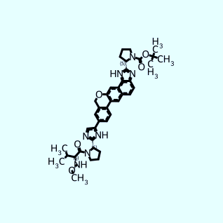 CON[C@H](C(=O)N1CCC[C@H]1c1ncc(-c2ccc3c(c2)COc2cc4c(ccc5nc([C@@H]6CCCN6C(=O)OC(C)(C)C)[nH]c54)cc2-3)[nH]1)C(C)C